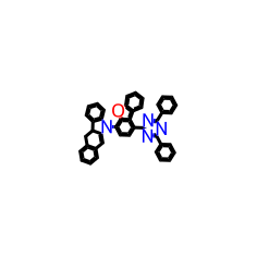 C1=C2C(Cc3ccccc31)c1ccccc1N2c1ccc(-c2nc(-c3ccccc3)nc(-c3ccccc3)n2)c2c1oc1ccccc12